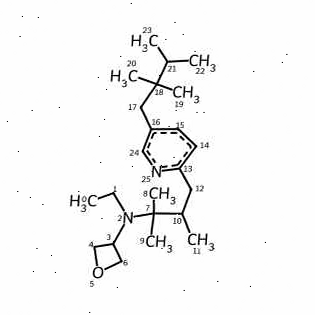 CCN(C1COC1)C(C)(C)C(C)Cc1ccc(CC(C)(C)C(C)C)cn1